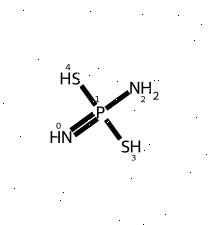 N=P(N)(S)S